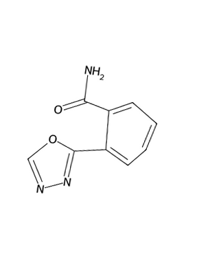 NC(=O)c1ccccc1-c1nnco1